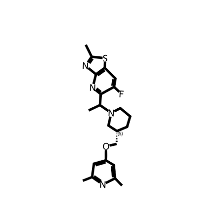 Cc1cc(OC[C@H]2CCCN(C(C)c3nc4nc(C)sc4cc3F)C2)cc(C)n1